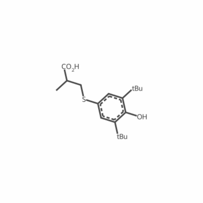 CC(CSc1cc(C(C)(C)C)c(O)c(C(C)(C)C)c1)C(=O)O